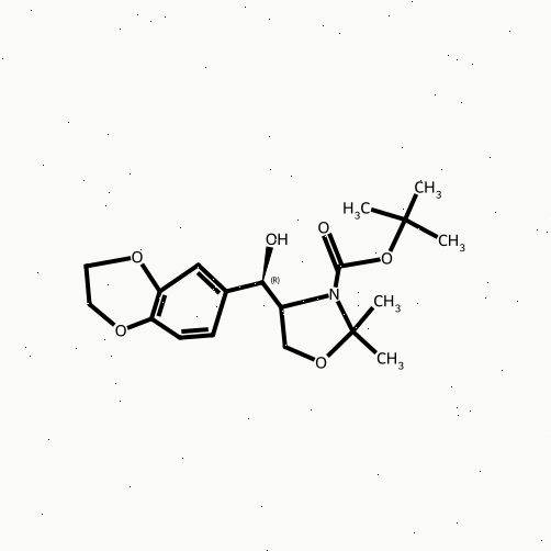 CC(C)(C)OC(=O)N1C([C@H](O)c2ccc3c(c2)OCCO3)COC1(C)C